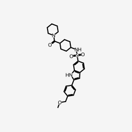 COCc1ccc(-c2cc3ccc(S(=O)(=O)NC4CCC(C(=O)N5CCCCC5)CC4)cc3[nH]2)cc1